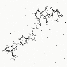 NC(=O)c1cccc2cn(-c3ccc([C@@H]4CCCN(CCCSc5cccc6c5C(=O)N(C5CCC(=O)NC5=O)C6=O)C4)cc3)nc12